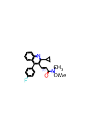 CON(C)C(=O)/C=C/c1c(C2CC2)nc2ccccc2c1-c1ccc(F)cc1